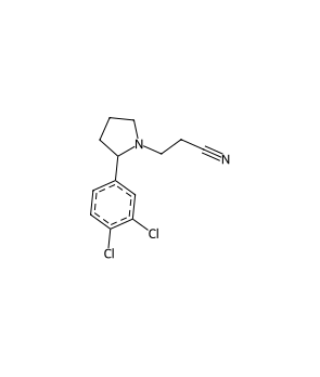 N#CCCN1CCCC1c1ccc(Cl)c(Cl)c1